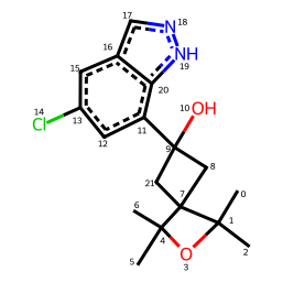 CC1(C)OC(C)(C)C12CC(O)(c1cc(Cl)cc3cn[nH]c13)C2